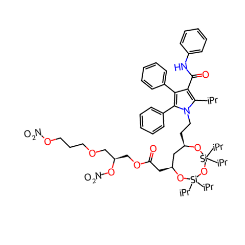 CC(C)c1c(C(=O)Nc2ccccc2)c(-c2ccccc2)c(-c2ccccc2)n1CC[C@@H]1C[C@H](CC(=O)OC[C@H](COCCCO[N+](=O)[O-])O[N+](=O)[O-])O[Si](C(C)C)(C(C)C)O[Si](C(C)C)(C(C)C)O1